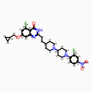 O=c1[nH]c(CCC2CCN(C3CCN(c4ccc([N+](=O)[O-])cc4F)CC3)CC2)nc2cc(OCC3CC3)cc(F)c12